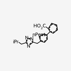 CCCCCn1nc(CC(C)C)nc1Cc1ccc(-c2ccccc2C(=O)O)cc1